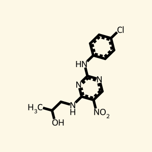 CC(O)CNc1nc(Nc2ccc(Cl)cc2)ncc1[N+](=O)[O-]